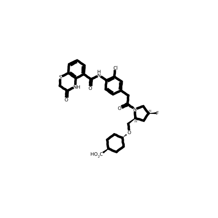 O=C1CSc2cccc(C(=O)Nc3ccc(CC(=O)N4C[C@@H](F)C[C@H]4CO[C@H]4CC[C@H](C(=O)O)CC4)cc3Cl)c2N1